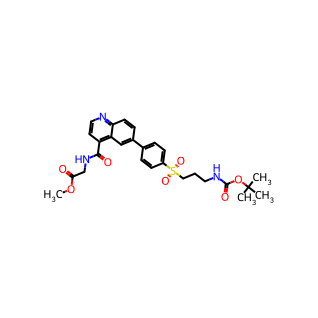 COC(=O)CNC(=O)c1ccnc2ccc(-c3ccc(S(=O)(=O)CCCNC(=O)OC(C)(C)C)cc3)cc12